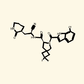 N#C[C@H](C[C@@H]1CCCNC1=O)NC(=O)[C@@H]1CC2(CN1C(=O)c1cc3cccc(Cl)c3[nH]1)CC(F)(F)C2